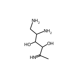 CC(=N)C(O)C(O)C(N)CN